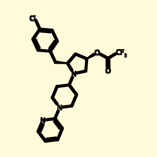 O=C(O[C@@H]1C[C@H](Cc2ccc(Cl)cc2)N(C2CCN(c3ccccn3)CC2)C1)C(F)(F)F